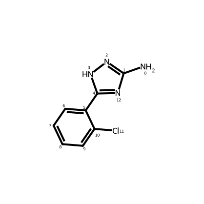 Nc1n[nH]c(-c2ccccc2Cl)n1